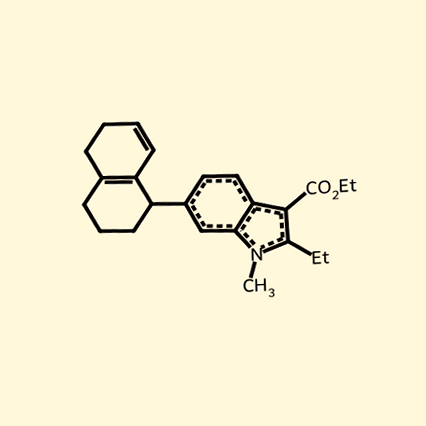 CCOC(=O)c1c(CC)n(C)c2cc(C3CCCC4=C3C=CCC4)ccc12